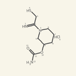 Cl.N=C(CS)N1CCCC(OC(N)=O)C1